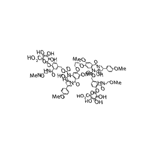 CNOCCNC(=O)c1cc(COC(=O)N2c3cc(OCCCOc4cc5c(cc4OC)C(=O)N4C=C(c6ccc(OC)cc6)C[C@H]4C(O)N5C(=O)OCc4ccc(O[C@@H]5O[C@H](C(=O)O)[C@@H](O)[C@H](O)[C@H]5O)c(C(=O)NCCOC)c4)c(OC)cc3C(=O)N3C=C(c4ccc(OC)cc4)C[C@H]3C2O)ccc1O[C@@H]1O[C@H](C(=O)O)[C@@H](O)[C@H](O)[C@H]1O